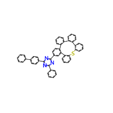 c1ccc(-c2ccc(-c3nc(-c4ccccc4)nc(-c4ccc5c(c4)-c4ccccc4Sc4ccccc4-c4ccccc4-c4ccccc4-5)n3)cc2)cc1